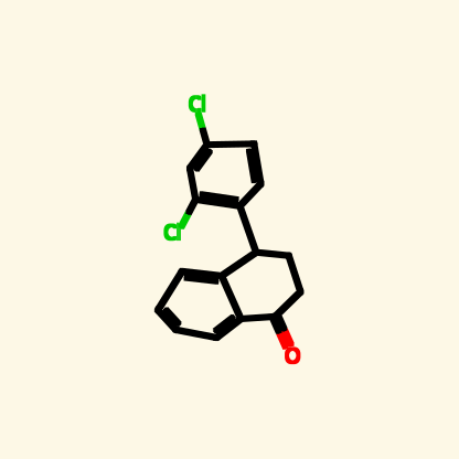 O=C1CCC(c2ccc(Cl)cc2Cl)c2ccccc21